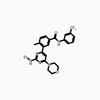 CCNc1nc(-c2cc(C(=O)Nc3cccc(C(F)(F)F)c3)ccc2C)cc(N2CCOCC2)n1